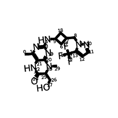 Cc1nc(NC2CC(Cn3nccc3C(F)(F)F)C2)nc2c1NC(=O)C(CO)N2C